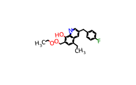 CCOOCc1cc(CC)c2cc(Cc3ccc(F)cc3)cnc2c1O